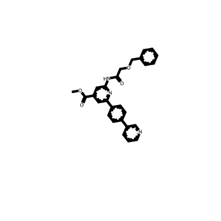 COC(=O)c1cc(NC(=O)COCc2ccccc2)nc(-c2ccc(-c3cccnc3)cc2)c1